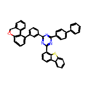 c1ccc(-c2ccc(-c3nc(-c4cccc(-c5cccc6c5-c5ccccc5CO6)c4)nc(-c4cccc5c4sc4ccccc45)n3)cc2)cc1